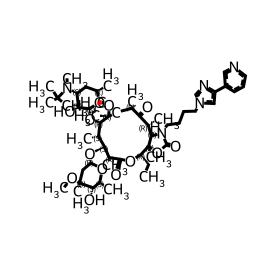 CC[C@H]1OC(=O)[C@H](C)[C@@H](O[C@H]2C[C@@](C)(OC)[C@@H](O)[C@H](C)O2)[C@H](C)[C@@H](O[C@@H]2O[C@H](C)C[C@H](N(C)C(C)(C)C)[C@H]2O)[C@](C)(OC)C[C@@H](C)C(=O)[C@H](C)[C@H]2N(CCCCn3cnc(-c4cccnc4)c3)C(=O)O[C@]12C